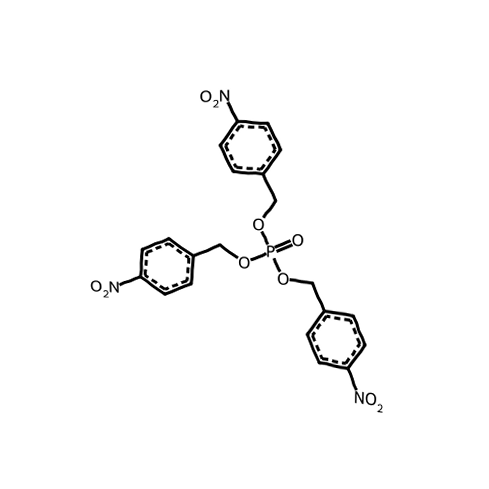 O=[N+]([O-])c1ccc(COP(=O)(OCc2ccc([N+](=O)[O-])cc2)OCc2ccc([N+](=O)[O-])cc2)cc1